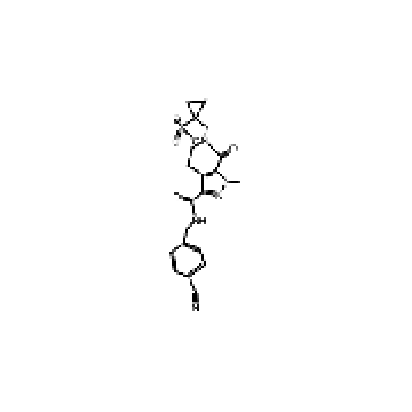 Cn1nc(C(=O)NCc2ccc(C#N)cc2)c2c1C(=O)N(CC1(S(=O)(=O)Cl)CC1)CC2